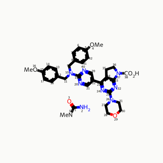 CNC(N)=O.COc1ccc(CN(Cc2ccc(OC)cc2)c2ncc(-c3nc(N4CCOCC4)nc4c3CCN4C(=O)O)cn2)cc1